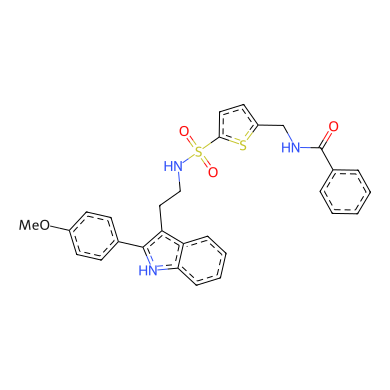 COc1ccc(-c2[nH]c3ccccc3c2CCNS(=O)(=O)c2ccc(CNC(=O)c3ccccc3)s2)cc1